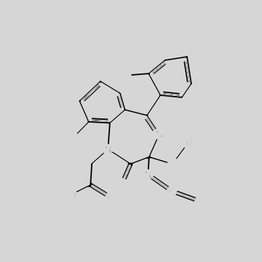 Cc1cccc2c1N(CC(=O)C(C)(C)C)C(=O)C(N=C=O)(OC(C)(C)C)N=C2c1ccccc1F